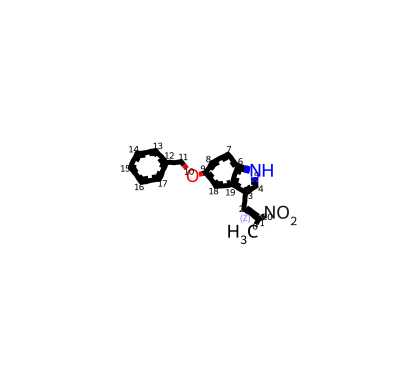 C/C(=C/c1c[nH]c2ccc(OCc3ccccc3)cc12)[N+](=O)[O-]